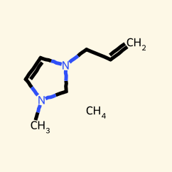 C.C=CCN1C=CN(C)C1